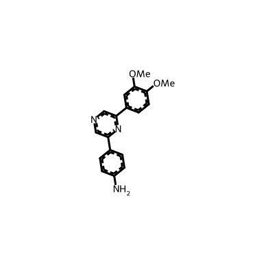 COc1ccc(-c2cncc(-c3ccc(N)cc3)n2)cc1OC